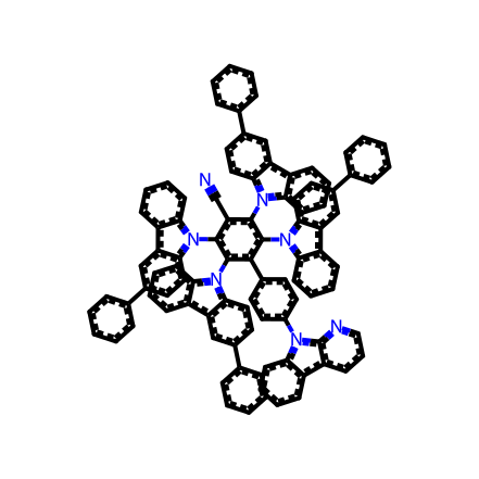 N#Cc1c(-n2c3ccccc3c3cc(-c4ccccc4)ccc32)c(-n2c3ccccc3c3cc(-c4ccccc4)ccc32)c(-c2ccc(-n3c4ccccc4c4cccnc43)cc2)c(-n2c3ccccc3c3cc(-c4ccccc4)ccc32)c1-n1c2ccccc2c2cc(-c3ccccc3)ccc21